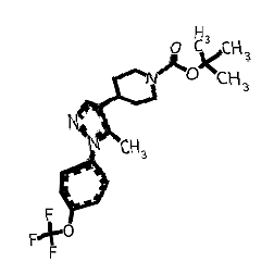 Cc1c(C2CCN(C(=O)OC(C)(C)C)CC2)cnn1-c1ccc(OC(F)(F)F)cc1